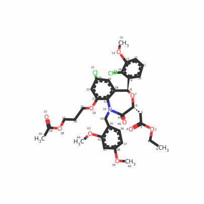 CCOC(=O)C[C@H]1O[C@H](c2cccc(OC)c2Cl)c2cc(Cl)cc(OCCCOC(C)=O)c2N(Cc2ccc(OC)cc2OC)C1=O